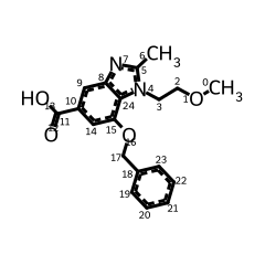 COCCn1c(C)nc2cc(C(=O)O)cc(OCc3ccccc3)c21